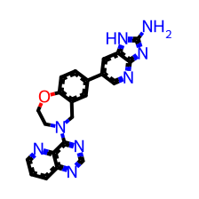 Nc1nc2ncc(-c3ccc4c(c3)CN(c3ncnc5cccnc35)CCO4)cc2[nH]1